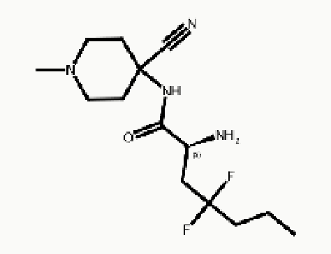 CCCC(F)(F)C[C@H](N)C(=O)NC1(C#N)CCN(C)CC1